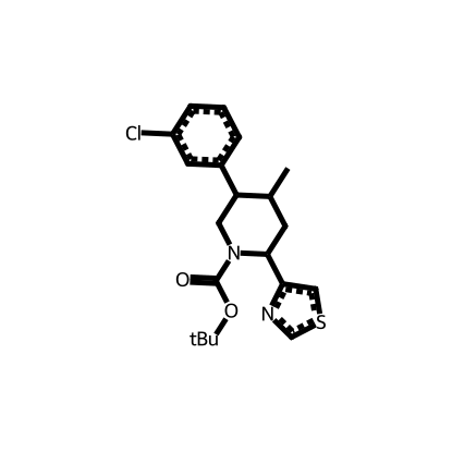 CC1CC(c2cscn2)N(C(=O)OC(C)(C)C)CC1c1cccc(Cl)c1